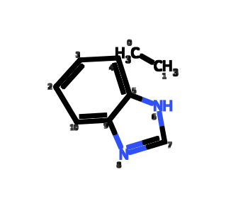 CC.c1ccc2[nH]cnc2c1